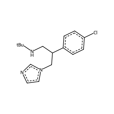 CC(C)(C)NCC(Cn1ccnc1)c1ccc(Cl)cc1